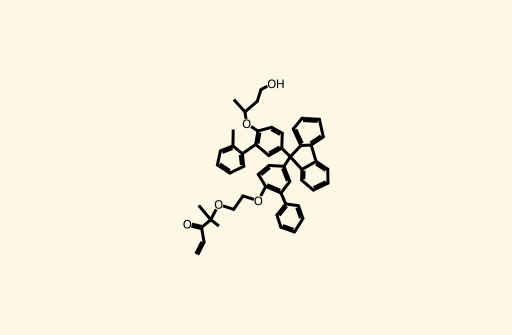 C=CC(=O)C(C)(C)OCCOc1ccc(C2(c3ccc(OC(C)CCO)c(-c4ccccc4C)c3)c3ccccc3-c3ccccc32)cc1-c1ccccc1